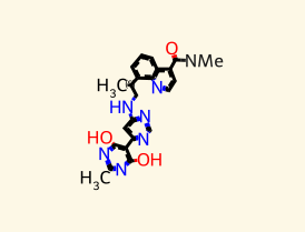 CNC(=O)c1ccnc2c([C@H](C)CNc3cc(-c4c(O)nc(C)nc4O)ncn3)cccc12